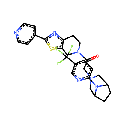 O=C(CN1CC2CCC(C1)N2c1ccc(C(F)(F)F)cn1)N1CCc2nc(-c3ccncc3)sc2C1